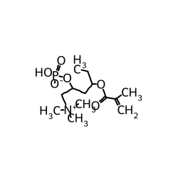 C=C(C)C(=O)OC(CC)CC(C[N+](C)(C)C)OP(=O)([O-])O